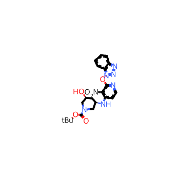 CC(C)(C)OC(=O)N1C[C@@H](O)C[C@@H](Nc2ccnc(On3nnc4ccccc43)c2[N+](=O)[O-])C1